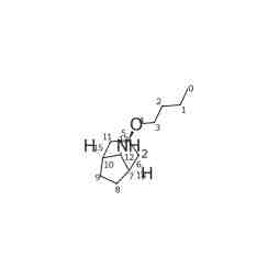 CCCCO[C@H]1C[C@H]2CC[C@@H](C1)C2N